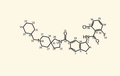 O=C(NC1CCc2ccc(C(=O)N3CCC4(CCN(CC5CCCCC5)CC4)C3)cc21)c1c(F)cccc1Cl